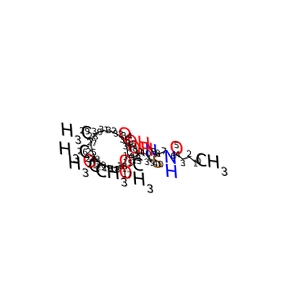 CCCCC(=O)NCc1nc(C=C(C)C2OC(=O)CCC(C)(C)C(=O)C(C)CC(C)CCCC3OC3(O)C2O)cs1